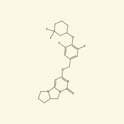 O=c1nc(OCc2cc(F)c(OC3CCCC(F)(F)C3)c(F)c2)cc2n1CC1CCCN21